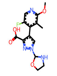 COc1ncc(F)c(-c2cn(C3NCCO3)nc2C(=O)O)c1C